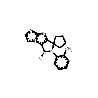 Cc1ccccc1N1[C@@H](C)c2c(sc3nccn23)C12CCCC2